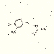 C=C(C)NCCc1cc(C)c(Cl)cn1